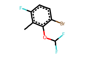 Cc1c(F)ccc(Br)c1OC(F)F